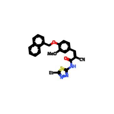 CCc1nnc(NC(=O)C(C#N)=Cc2ccc(OCc3cccc4ccccc34)c(OC)c2)s1